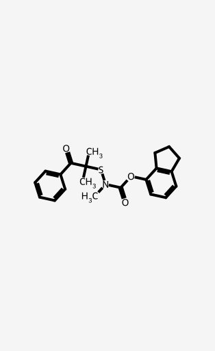 CN(SC(C)(C)C(=O)c1ccccc1)C(=O)Oc1cccc2c1CCC2